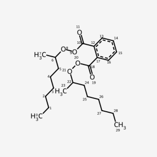 CCCCCCC(C)OOC(=O)c1ccccc1C(=O)OOC(C)CCCCCC